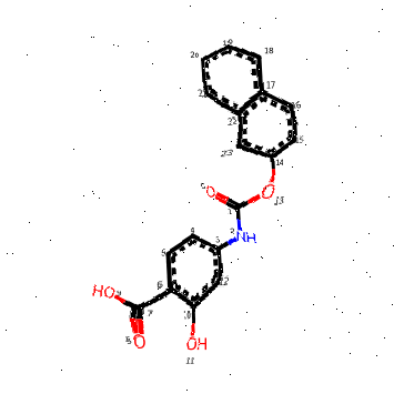 O=C(Nc1ccc(C(=O)O)c(O)c1)Oc1ccc2ccccc2c1